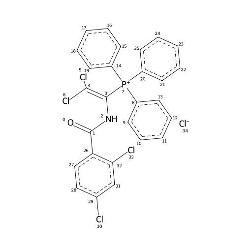 O=C(NC(=C(Cl)Cl)[P+](c1ccccc1)(c1ccccc1)c1ccccc1)c1ccc(Cl)cc1Cl.[Cl-]